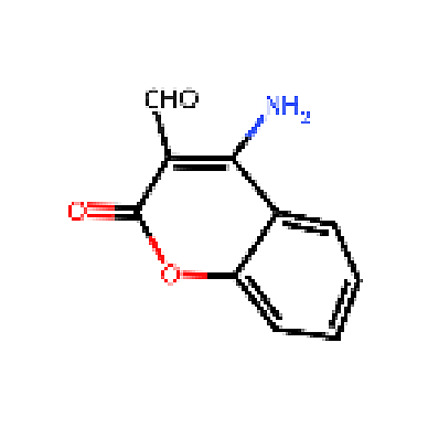 Nc1c(C=O)c(=O)oc2ccccc12